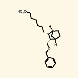 O=C(O)CCCCCC[C@@H]1[C@@H]2CC[C@@H](C2)[C@@H]1COCc1ccccc1